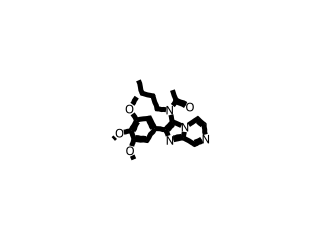 CCCCN(C(C)=O)c1c(-c2cc(OC)c(OC)c(OC)c2)nc2cnccn12